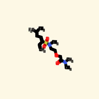 C=C/C(=C\C=C(/C)C(F)(F)F)S(=O)(=O)N(C)CCOCC(=O)N(C)C